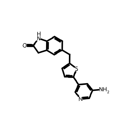 Nc1cncc(-c2ccc(Cc3ccc4c(c3)CC(=O)N4)s2)c1